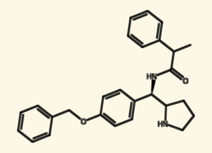 CC(C(=O)N[C@H](c1ccc(OCc2ccccc2)cc1)C1CCCN1)c1ccccc1